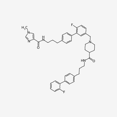 Cn1cnc(C(=O)NCCCc2ccc(-c3cc(CN4CCC(C(=O)NCCCc5ccc(-c6ccccc6F)cc5)CC4)ccc3F)cc2)c1